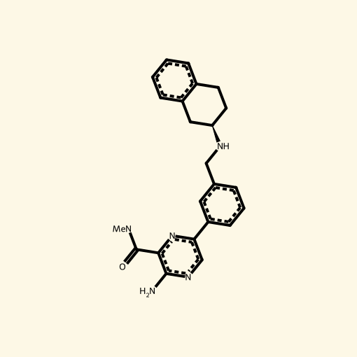 CNC(=O)c1nc(-c2cccc(CN[C@@H]3CCc4ccccc4C3)c2)cnc1N